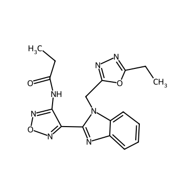 CCC(=O)Nc1nonc1-c1nc2ccccc2n1Cc1nnc(CC)o1